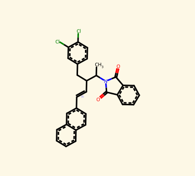 CC(C(/C=C/c1ccc2ccccc2c1)Cc1ccc(Cl)c(Cl)c1)N1C(=O)c2ccccc2C1=O